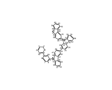 C1=CCCC(c2cccc(-n3c4ccccc4c4cc(C5=CC6C(C=C5)c5ccccc5N6c5ccc6sc7ccccc7c6c5)ccc43)c2)=C1